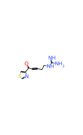 N=C(N)NCCC#CC(=O)c1cscn1